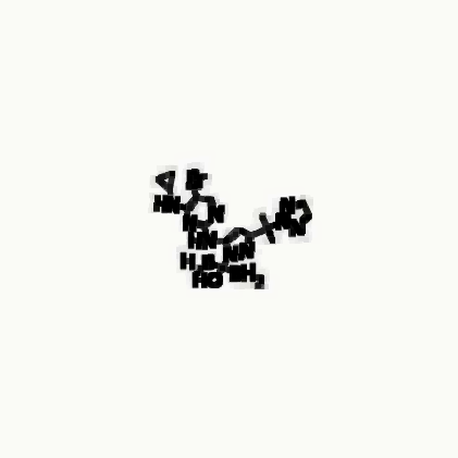 BC(B)(O)n1nc(C(C)(C)n2nccn2)cc1Nc1ncc(Br)c(NC2CC2)n1